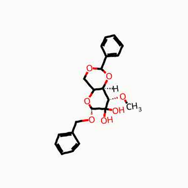 CO[C@H]1[C@@H]2OC(c3ccccc3)OCC2O[C@@H](OCc2ccccc2)C1(O)O